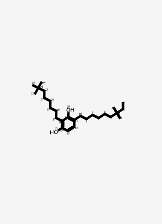 CCC(C)(C)CCCCCCc1ccc(O)c(CCCCCCC(C)(C)C)c1O